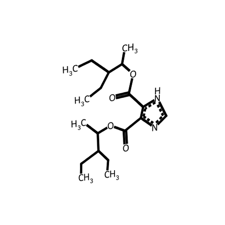 CCC(CC)C(C)OC(=O)c1nc[nH]c1C(=O)OC(C)C(CC)CC